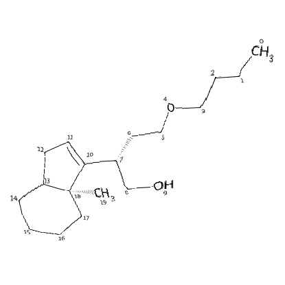 CCCCOCC[C@H](CO)C1=CCC2CCCC[C@]12C